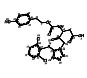 O=C(O)CC(NC(=O)OCCc1ccc(O)cc1)C(=O)Cn1nnnc1Sc1c(Cl)cccc1Cl